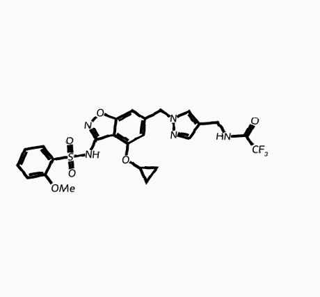 COc1ccccc1S(=O)(=O)Nc1noc2cc(Cn3cc(CNC(=O)C(F)(F)F)cn3)cc(OC3CC3)c12